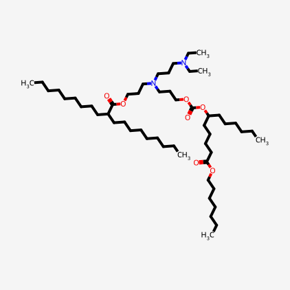 CCCCCCCCCC(CCCCCCCCC)C(=O)OCCCN(CCCOC(=O)OC(CCCCCC)CCCCC(=O)OCCCCCCC)CCCN(CC)CC